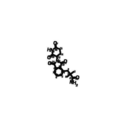 CC(C)(Cc1cccc2c1C(=O)N(C1CCC(=O)NC1=O)C2=O)C(N)=O